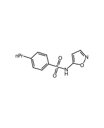 CCCc1ccc(S(=O)(=O)Nc2ccno2)cc1